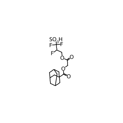 O=C(COC(=O)C12CC3CC(CC(C3)C1)C2)OCC(F)C(F)(F)S(=O)(=O)O